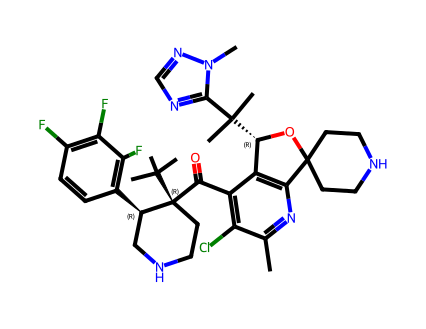 Cc1nc2c(c(C(=O)[C@]3(C(C)(C)C)CCNC[C@H]3c3ccc(F)c(F)c3F)c1Cl)[C@H](C(C)(C)c1ncnn1C)OC21CCNCC1